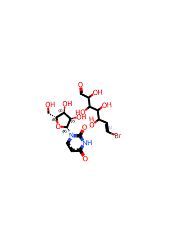 O=CC(O)C(O)C(O)C(O)/C=C/Br.O=c1ccn([C@@H]2O[C@H](CO)[C@@H](O)[C@H]2O)c(=O)[nH]1